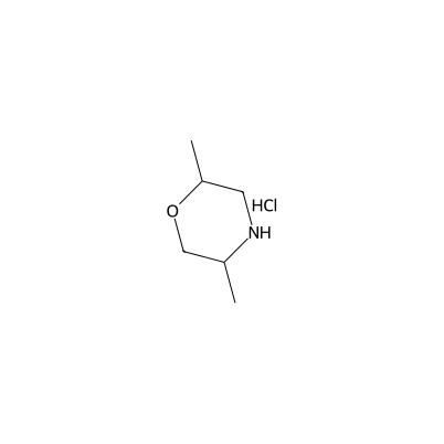 CC1COC(C)CN1.Cl